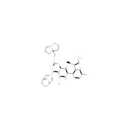 COc1c(Cl)c(-c2ccc(F)c3sc(N)c(C#N)c23)c(F)c2nc(OCC34CCCN3CCC4)nc(N3CC4CCC(C3)N4)c12